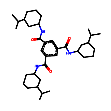 CC(C)C1CCCC(NC(=O)c2cc(C(=O)NC3CCCC(C(C)C)C3)cc(C(=O)NC3CCCC(C(C)C)C3)c2)C1